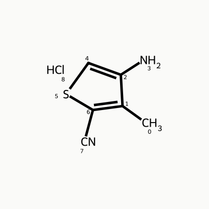 Cc1c(N)csc1C#N.Cl